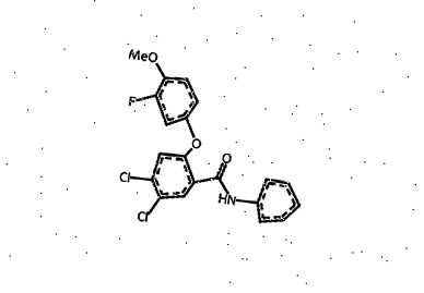 COc1ccc(Oc2cc(Cl)c(Cl)cc2C(=O)Nc2ccccc2)cc1F